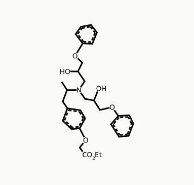 CCOC(=O)COc1ccc(CC(C)N(CC(O)COc2ccccc2)CC(O)COc2ccccc2)cc1